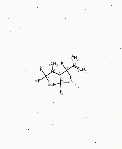 C=C(C)C(F)(F)C(N(C)C(F)(F)F)C(F)(F)F